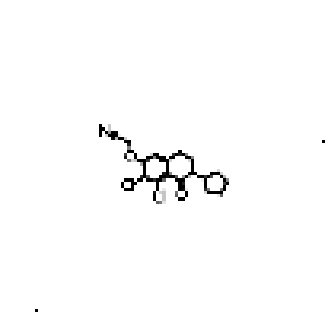 N#CCOc1cc2c(c(Cl)c1Cl)C(=O)C(C1CCCC1)CC2